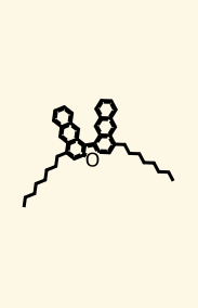 CCCCCCCCc1cc2oc3cc(CCCCCCCC)c4cc5ccccc5cc4c3c2c2cc3ccccc3cc12